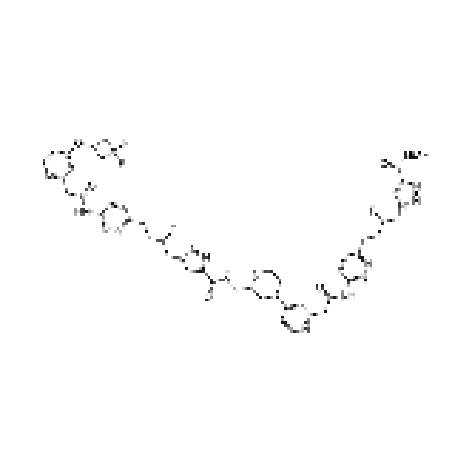 CNC(=O)c1cn(CC(F)CCc2ccc(NC(=O)Cc3cc(C4CCOC(CNC(=O)c5cn(CC(F)CCc6ccc(NC(=O)Cc7cc(OC8CC(F)(F)C8)ccn7)nn6)nn5)C4)ccn3)nn2)nn1